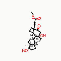 CCOC(=O)C#CC12CCC1[C@]1(C)[C@H]3CC[C@]4(C)[C@H](O)CC[C@H]4[C@@H]3CC[C@]1(O)CC2=O